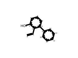 C=Cc1c(O)cccc1-c1ccccc1